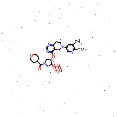 COc1ncc(N2CCc3ncnc(O[C@H]4CCN(C(=O)C5CCOCC5)C4)c3C2)cc1C.O.O.O